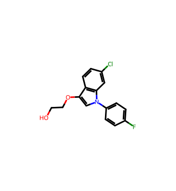 OCCOc1cn(-c2ccc(F)cc2)c2cc(Cl)ccc12